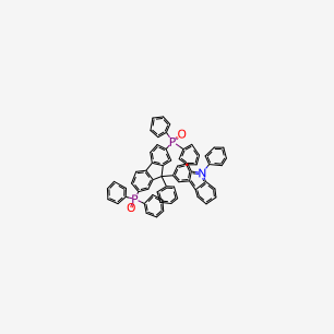 O=P(c1ccccc1)(c1ccccc1)c1ccc2c(c1)C(c1ccccc1)(c1ccc3c(c1)c1ccccc1n3-c1ccccc1)c1cc(P(=O)(c3ccccc3)c3ccccc3)ccc1-2